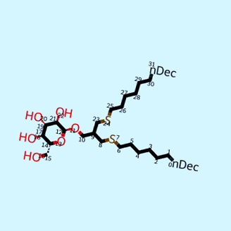 CCCCCCCCCCCCCCCCSCC(CO[C@H]1O[C@H](CO)[C@@H](O)[C@H](O)[C@H]1O)CSCCCCCCCCCCCCCCCC